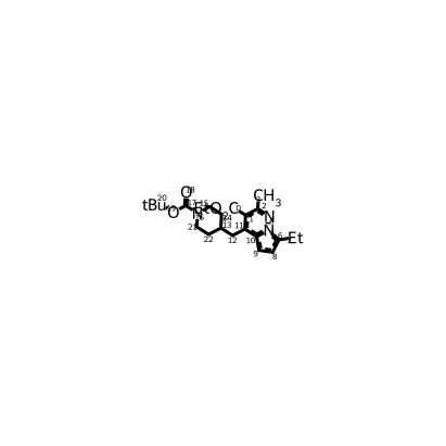 CCOC(=O)c1c(C)nn2c(CC)ccc2c1CC1CCN(C(=O)OC(C)(C)C)CC1